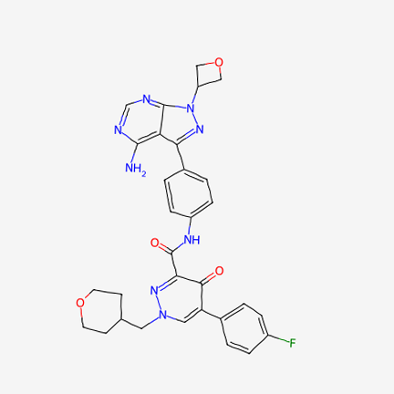 Nc1ncnc2c1c(-c1ccc(NC(=O)c3nn(CC4CCOCC4)cc(-c4ccc(F)cc4)c3=O)cc1)nn2C1COC1